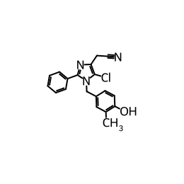 Cc1cc(Cn2c(-c3ccccc3)nc(CC#N)c2Cl)ccc1O